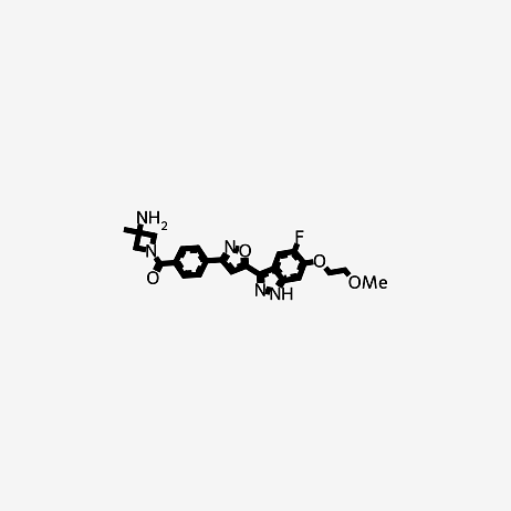 COCCOc1cc2[nH]nc(-c3cc(-c4ccc(C(=O)N5CC(C)(N)C5)cc4)no3)c2cc1F